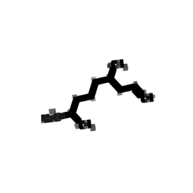 [CH]=CCC(C)CCCC(C)OC